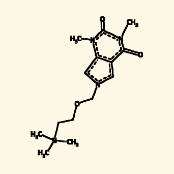 Cn1c(=O)c2cn(COCC[Si](C)(C)C)cc2n(C)c1=O